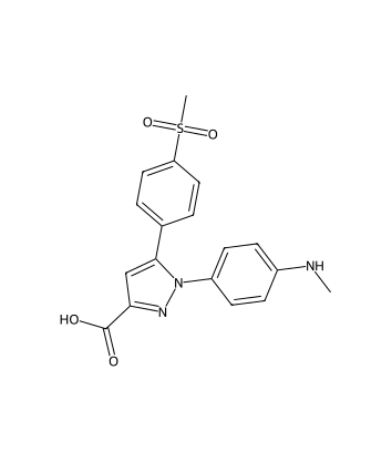 CNc1ccc(-n2nc(C(=O)O)cc2-c2ccc(S(C)(=O)=O)cc2)cc1